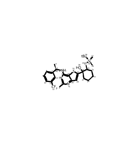 Cc1nc(N[C@H](C)c2cccc(C(F)(F)F)c2)c2sc(C3(O)CCCCC3O[Si](C)(C)C(C)(C)C)cc2n1